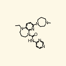 CCN1CCCN(C(=O)Nc2ccncn2)c2nc(N3CCCN(C)CC3)ccc21